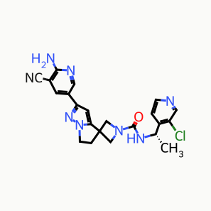 C[C@H](NC(=O)N1CC2(CCn3nc(-c4cnc(N)c(C#N)c4)cc32)C1)c1ccncc1Cl